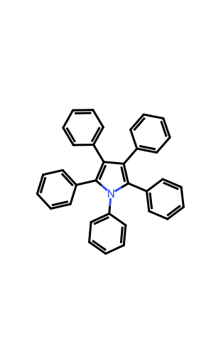 c1ccc(-c2c(-c3ccccc3)c(-c3ccccc3)n(-c3ccccc3)c2-c2ccccc2)cc1